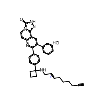 C#CCCCC/C=C/CNC1(c2ccc(-c3nc4ccn5c(=O)[nH]nc5c4cc3-c3ccccc3)cc2)CCC1.Cl